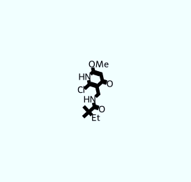 CCC(C)(C)C(=O)NCc1c(Cl)[nH]c(OC)cc1=O